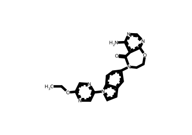 CCOc1cnc(-n2ccc3cc(N4CCOc5ncnc(N)c5C4=O)ccc32)cn1